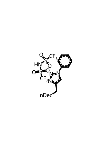 CCCCCCCCCCCc1cn(-c2ccccc2)nn1.O=S(=O)(NS(=O)(=O)C(F)(F)F)C(F)(F)F